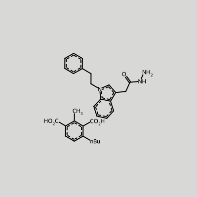 CCCCc1ccc(C(=O)O)c(C)c1C(=O)O.NNC(=O)Cc1cn(CCc2ccccc2)c2ccccc12